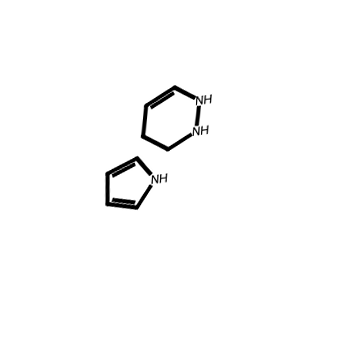 C1=CNNCC1.c1cc[nH]c1